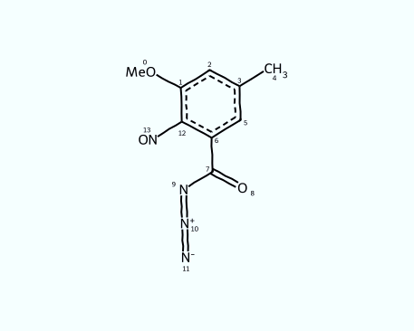 COc1cc(C)cc(C(=O)N=[N+]=[N-])c1N=O